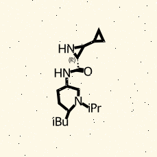 CCC(C)C1CCC(NC(=O)[C@@H]2NC2C2CC2)CN1C(C)C